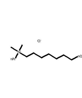 CCCCCCCCCCCCCCC[N+](C)(C)CCC.[Cl-]